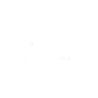 CC(C(=O)O)c1ccc(Br)c([N+](=O)[O-])c1